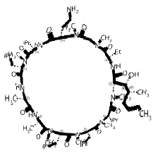 C/C=C/C[C@@H](C)[C@@H](O)[C@H]1C(=O)N[C@@H](CC)C(=O)N(C)CC(=O)N(C)[C@@H](CCN)C(=O)N[C@@H](C(C)C)C(=O)N(C)[C@@H](CC(C)C)C(=O)N[C@@H](C)C(=O)N[C@@H](C)C(=O)N(C)[C@@H](CC(C)C)C(=O)N(C)[C@@H](CC(C)C)C(=O)N(C)[C@@H](C(C)C)C(=O)N1C